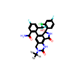 [2H]C([2H])([2H])N1Cc2cc(-c3c(C(N)=O)cc(F)cc3C(F)(F)F)c3c(c2NC1=O)C(=O)NC3(O)c1ccc(F)cc1Cl